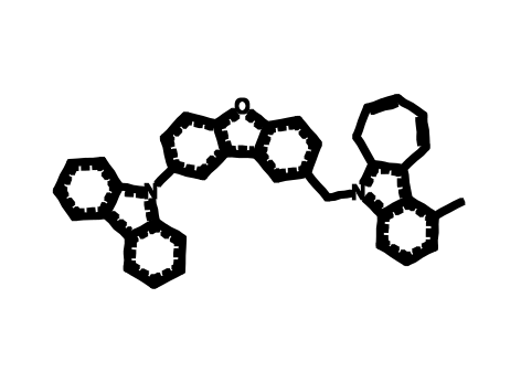 Cc1cccc2c1c1c(n2Cc2ccc3oc4ccc(-n5c6ccccc6c6ccccc65)cc4c3c2)CC=CC=C1